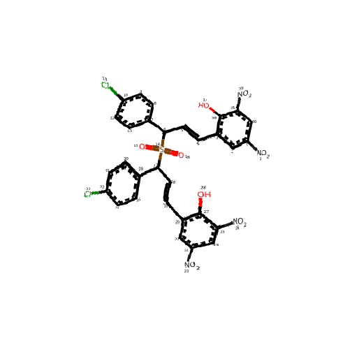 O=[N+]([O-])c1cc(C=CC(c2ccc(Cl)cc2)S(=O)(=O)C(C=Cc2cc([N+](=O)[O-])cc([N+](=O)[O-])c2O)c2ccc(Cl)cc2)c(O)c([N+](=O)[O-])c1